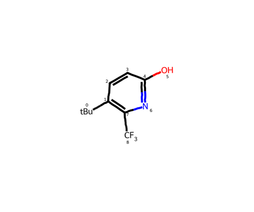 CC(C)(C)c1ccc(O)nc1C(F)(F)F